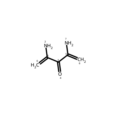 C=C(N)C(=O)C(=C)N